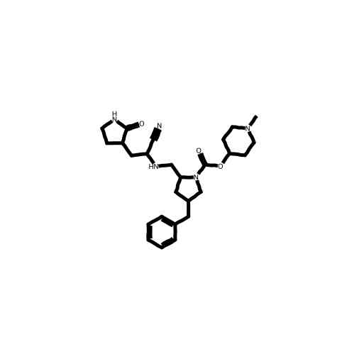 CN1CCC(OC(=O)N2CC(Cc3ccccc3)CC2CNC(C#N)CC2CCNC2=O)CC1